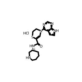 Cl.O=C(N[C@@H]1CCCCNC1)C1=CN(c2ncnc3[nH]ccc23)CCS1